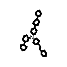 C(=C\c1ccc(N(c2ccc(-c3ccc(-c4ccccc4)cc3)cc2)c2cccc(-c3ccccc3)c2)cc1)/c1ccccc1